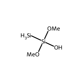 CO[Si](O)([SiH3])OC